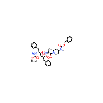 CC(C)[C@H](NC(=O)C(Cc1ccccc1)CC(O)C(Cc1ccccc1)NC(=O)OC(C)(C)C)C(=O)N1CCC(N(C)C(=O)OCc2ccccc2)CC1